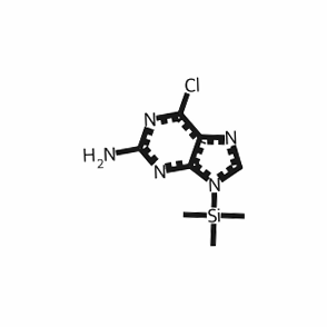 C[Si](C)(C)n1cnc2c(Cl)nc(N)nc21